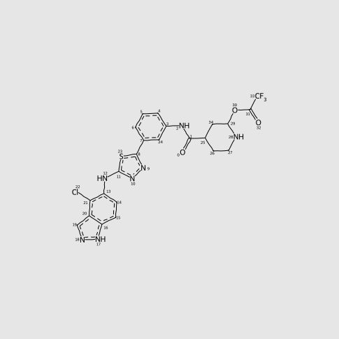 O=C(Nc1cccc(-c2nnc(Nc3ccc4[nH]ncc4c3Cl)s2)c1)C1CCNC(OC(=O)C(F)(F)F)C1